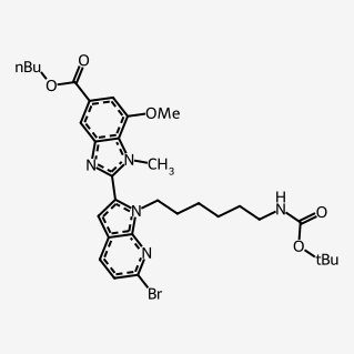 CCCCOC(=O)c1cc(OC)c2c(c1)nc(-c1cc3ccc(Br)nc3n1CCCCCCNC(=O)OC(C)(C)C)n2C